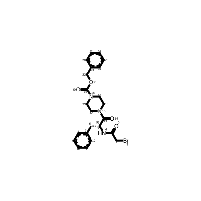 O=C(CBr)N[C@H](Cc1ccccc1)C(=O)N1CCN(C(=O)OCc2ccccc2)CC1